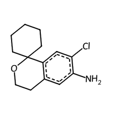 Nc1cc2c(cc1Cl)C1(CCCCC1)OCC2